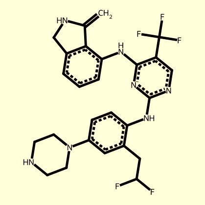 C=C1NCc2cccc(Nc3nc(Nc4ccc(N5CCNCC5)cc4CC(F)F)ncc3C(F)(F)F)c21